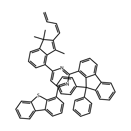 C=C/C=C\C1=C(C)c2c(-c3cc(-c4cccc5c4sc4ccccc45)nc(-c4cccc5c4C(c4ccccc4)(c4ccccc4)c4ccccc4-5)n3)cccc2C1(C)C